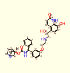 O=C(NC(c1ccccc1)c1cccc(OCCNC[C@H](O)c2ccc(O)c3[nH]c(=O)ccc23)c1)O[C@H]1CN2CCC1CC2